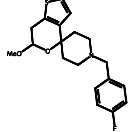 COC1Cc2sccc2C2(CCN(Cc3ccc(F)cc3)CC2)O1